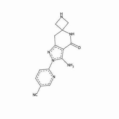 N#Cc1ccc(-n2nc3c(c2N)C(=O)NC2(CNC2)C3)nc1